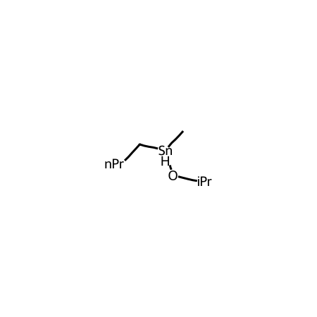 CCC[CH2][SnH]([CH3])[O]C(C)C